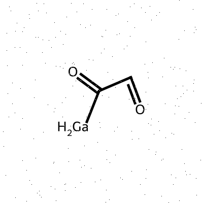 O=C[C](=O)[GaH2]